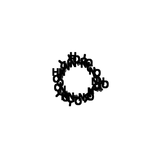 CCC1NC(=O)C(C[C@H](C)CC=O)N(C)C(=O)C(C(C)C)N(C)C(=O)[C@@H](CC(C)C)NC(=O)[C@@H](CC(C)C)N(C)C(=O)OC(=O)[C@@H](C)N[C@@H](CC(C)C)N(C)[C@@H](CC(C)C)NC(=O)[C@H](CC(C)C)N(C)C(=O)CN(C)C1=O